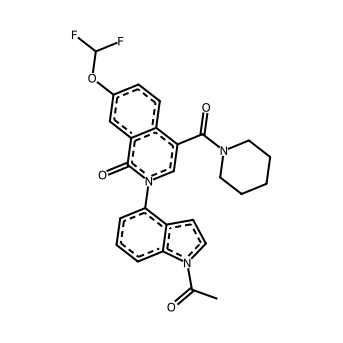 CC(=O)n1ccc2c(-n3cc(C(=O)N4CCCCC4)c4ccc(OC(F)F)cc4c3=O)cccc21